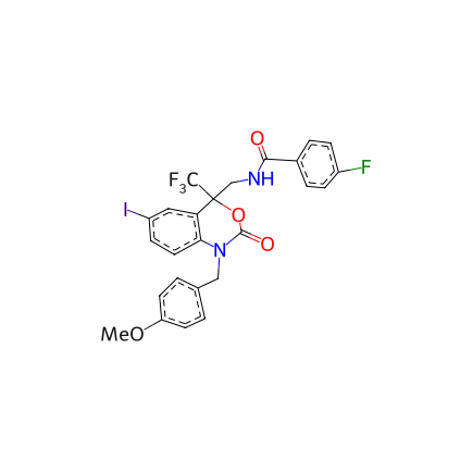 COc1ccc(CN2C(=O)OC(CNC(=O)c3ccc(F)cc3)(C(F)(F)F)c3cc(I)ccc32)cc1